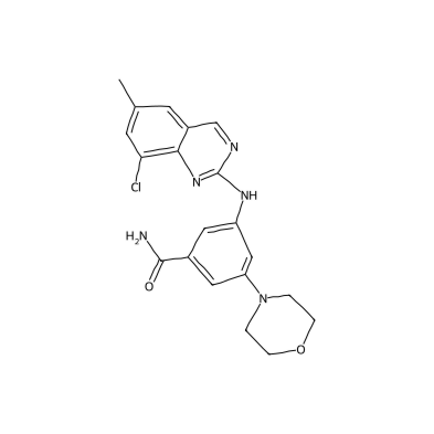 Cc1cc(Cl)c2nc(Nc3cc(C(N)=O)cc(N4CCOCC4)c3)ncc2c1